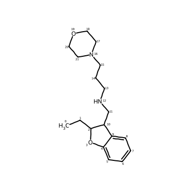 CCC1Oc2ccccc2C1CNCCCN1CCOCC1